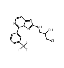 OC(CCl)CNc1nc2ccnc(-c3cccc(C(F)(F)F)c3)n2n1